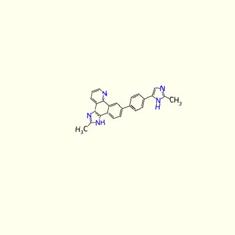 Cc1ncc(-c2ccc(-c3ccc4c(c3)c3ncccc3c3nc(C)[nH]c43)cc2)[nH]1